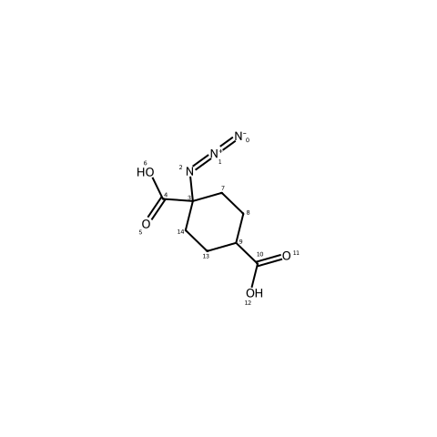 [N-]=[N+]=NC1(C(=O)O)CCC(C(=O)O)CC1